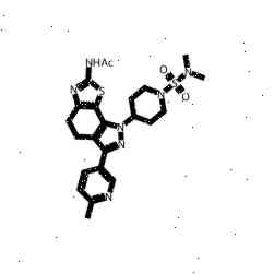 CC(=O)Nc1nc2c(s1)-c1c(c(-c3ccc(C)nc3)nn1C1CCN(S(=O)(=O)N(C)C)CC1)CC2